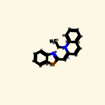 CCN1/C(=C\c2nc3ccccc3s2)C=Cc2ccccc21